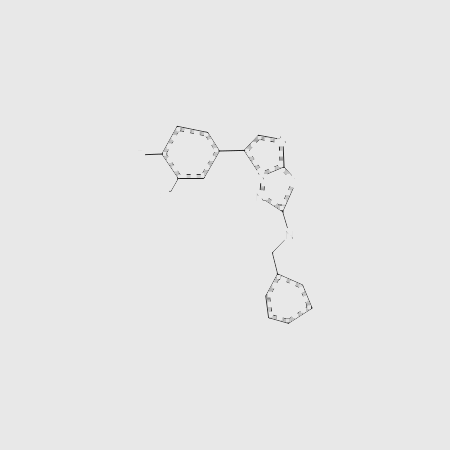 Fc1ccc(-c2cnc3sc(NCc4ccccc4)nn23)cc1Cl